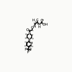 CC(C=NOCC(=O)N1CCN(c2ccc(C(F)(F)F)cn2)CC1)NC(=O)O